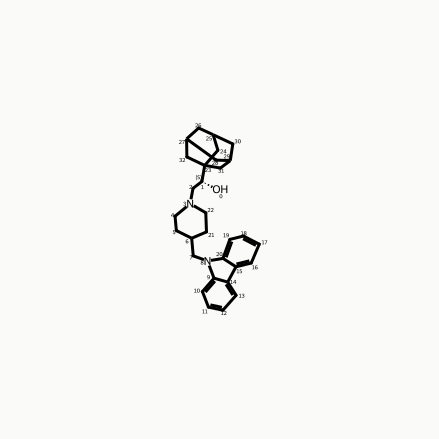 O[C@H](CN1CCC(Cn2c3ccccc3c3ccccc32)CC1)C12CC3CC(CC(C3)C1)C2